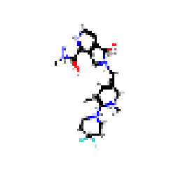 CCNC(=O)c1nccc2c1CN(CC1=CC(C)=C(N3CCC(F)(F)CC3)N(C)C1)C2=O